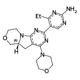 CCc1nc(N)ncc1-c1nc(N2CCOCC2)c2c(n1)N1CCOC[C@H]1C2